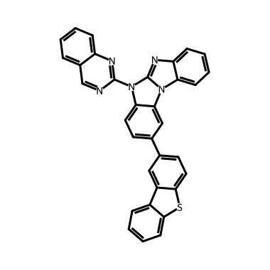 c1ccc2nc(-n3c4ccc(-c5ccc6sc7ccccc7c6c5)cc4n4c5ccccc5nc34)ncc2c1